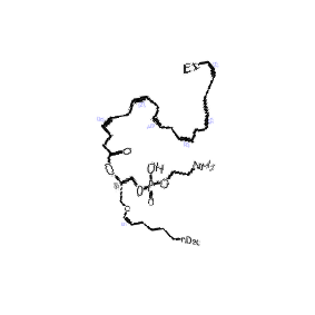 CC/C=C\C/C=C\C/C=C\C/C=C\C/C=C\C/C=C\CCC(=O)O[C@H](CO/C=C\CCCCCCCCCCCCCC)COP(=O)(O)OCCN